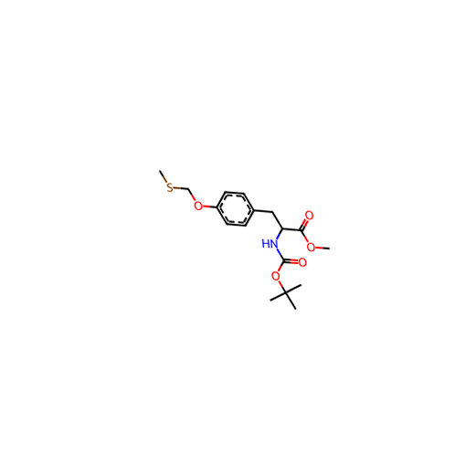 COC(=O)C(Cc1ccc(OCSC)cc1)NC(=O)OC(C)(C)C